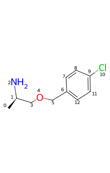 C[C@@H](N)COCc1ccc(Cl)cc1